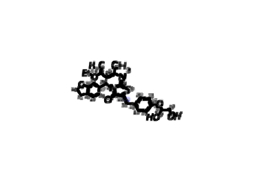 C=C(OCC)C1=C(C)N=c2s/c(=C\c3ccc(OC(O)CO)cc3)c(=O)n2C1c1ccc2c(c1)OCC2